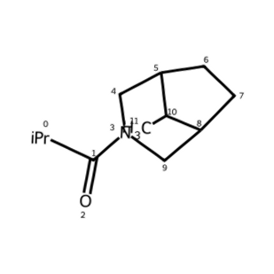 CC(C)C(=O)N1CC2CCC(C1)C2C